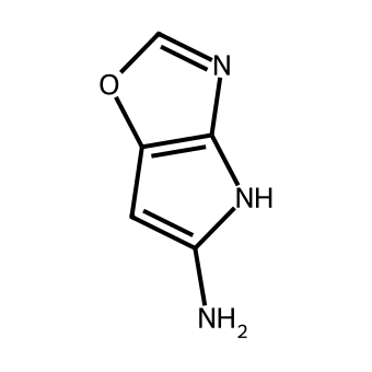 Nc1cc2ocnc2[nH]1